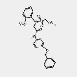 CCS(=O)(=O)N(CC(=O)Nc1ccc(OCc2ccccc2)cc1)c1ccccc1C